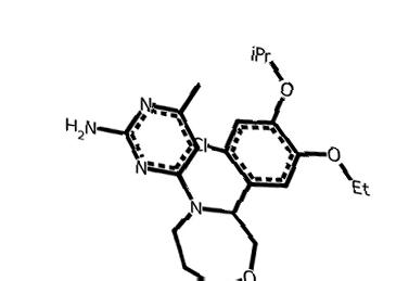 CCOc1cc(C2COCCCN2c2cc(C)nc(N)n2)c(Cl)cc1OC(C)C